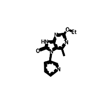 CCOc1nc(C)c2c(n1)[nH]c(=O)n2-c1cccnc1